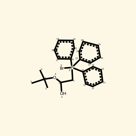 CC(C)(C)OC(O)CP(Br)(c1ccccc1)(c1ccccc1)c1ccccc1